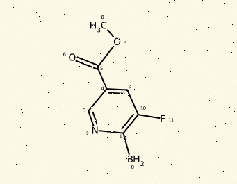 Bc1ncc(C(=O)OC)cc1F